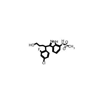 CS(=O)(=O)Nc1cccc2c(C(CCCO)c3ccc(Cl)cc3F)n[nH]c12